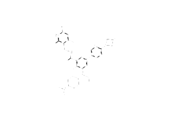 CCN(c1cc(-c2ccc(N3CC(O)C3)nc2)cc(C(=O)NCc2c(C)cc(C)[nH]c2=O)c1C)[C@H]1CC[C@H](N(C)C)CC1